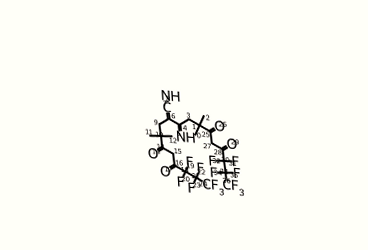 CC(C)(CC(=N)C(=C=N)CC(C)(C)C(=O)CC(=O)C(F)(F)C(F)(F)C(F)(F)F)C(=O)CC(=O)C(F)(F)C(F)(F)C(F)(F)F